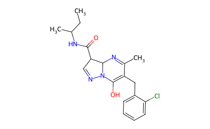 CCC(C)NC(=O)C1C=NN2C(O)=C(Cc3ccccc3Cl)C(C)=NC12